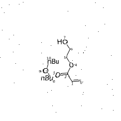 C=CC(=O)OCCO.CCCCOCCCC